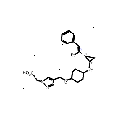 CC/C(=C\c1ccccc1)[C@@H]1C[C@H]1NC1CCC(NCc2cnn(CC(=O)O)c2)CC1